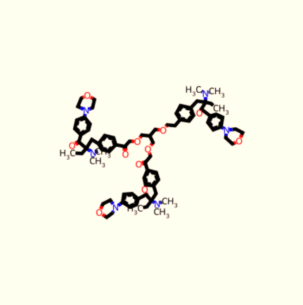 CCC(Cc1ccc(CCOCC(COCC(=O)c2ccc(CC(CC)(C(=O)c3ccc(N4CCOCC4)cc3)N(C)C)cc2)COCC(=O)c2ccc(CC(CC)(C(=O)c3ccc(N4CCOCC4)cc3)N(C)C)cc2)cc1)(C(=O)c1ccc(N2CCOCC2)cc1)N(C)C